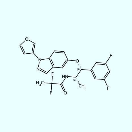 C[C@H](NC(=O)C(C)(F)F)[C@H](Oc1ccc2c(cnn2-c2ccoc2)c1)c1cc(F)cc(F)c1